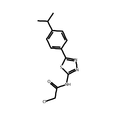 CC(C)c1ccc(-c2nnc(NC(=O)CCl)s2)cc1